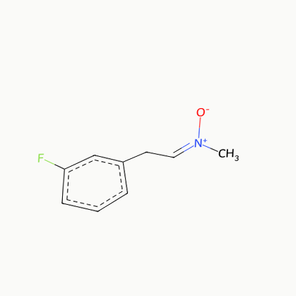 C/[N+]([O-])=C/Cc1cccc(F)c1